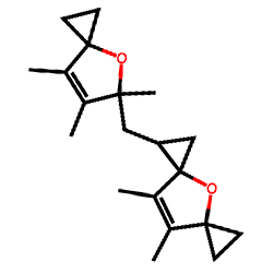 CC1=C(C)C2(CC2)OC1(C)CC1CC12OC1(CC1)C(C)=C2C